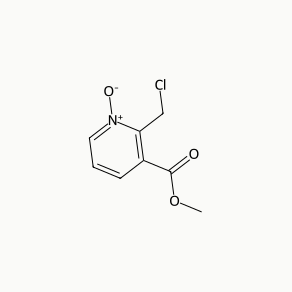 COC(=O)c1ccc[n+]([O-])c1CCl